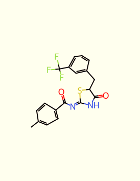 Cc1ccc(C(=O)/N=C2/NC(=O)C(Cc3cccc(C(F)(F)F)c3)S2)cc1